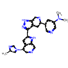 Cc1cn(-c2cncc3[nH]c(-c4n[nH]c5cnc(-c6cncc(N(C)C)c6)cc45)cc23)cn1